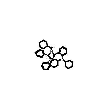 O=C(C1CCCCC1)N1C(c2ccccc2P(C2CCCCC2)C2CCCCC2)=N[C@H](c2ccccc2)[C@H]1c1ccccc1